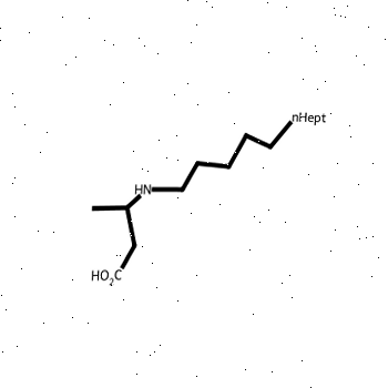 CCCCCCCCCCCCNC(C)CC(=O)O